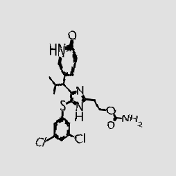 CC(C)C(c1ccc(=O)[nH]c1)c1nc(CCOC(N)=O)[nH]c1Sc1cc(Cl)cc(Cl)c1